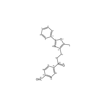 Cc1oc(-c2ccccc2)nc1CCC(=O)c1ccc(C=O)nc1